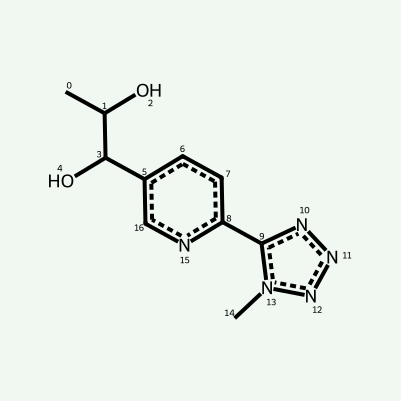 CC(O)C(O)c1ccc(-c2nnnn2C)nc1